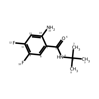 CC(C)(C)NC(=O)c1cc(F)c(F)cc1N